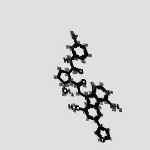 Cc1cc(-c2ccoc2)cc2c3c(N)ncnc3n(CC(=O)N3[C@H](C)CC[C@H]3C(=O)Nc3cccc(Br)n3)c12